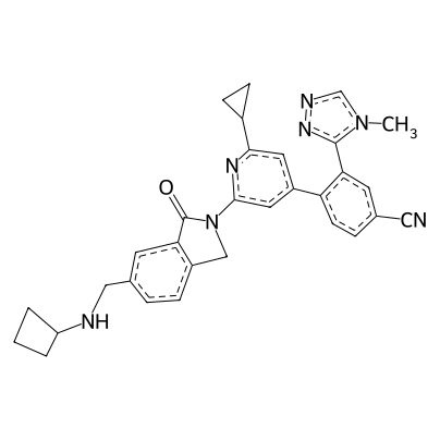 Cn1cnnc1-c1cc(C#N)ccc1-c1cc(C2CC2)nc(N2Cc3ccc(CNC4CCC4)cc3C2=O)c1